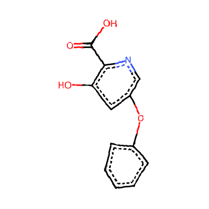 O=C(O)c1ncc(Oc2ccccc2)cc1O